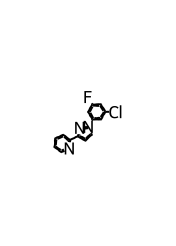 Fc1cc(Cl)cc(-n2ccc(-c3ccccn3)n2)c1